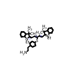 CCN1/C(=C/C=C(/C=C/C2=[N+](CC)c3ccccc3C2(C)C)Sc2ccc(CCN)cc2)C(C)(C)c2ccccc21